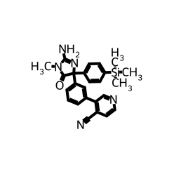 CN1C(=O)C(c2ccc([Si](C)(C)C)cc2)(c2cccc(-c3cnccc3C#N)c2)N=C1N